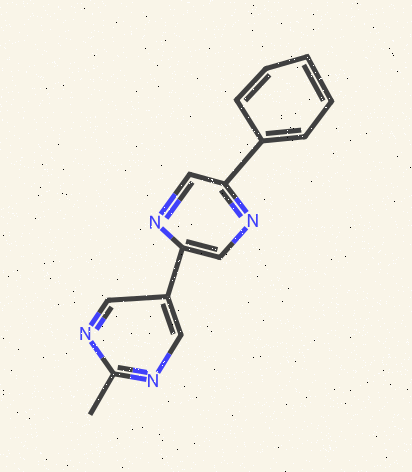 Cc1ncc(-c2cnc(-c3ccccc3)cn2)cn1